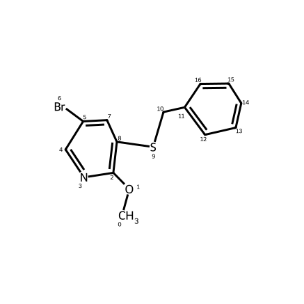 COc1ncc(Br)cc1SCc1ccccc1